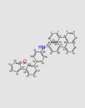 c1ccc(-c2cccc3cccc(-c4ccc(Nc5ccc(-c6cccc7c6oc6ccccc67)cc5)cc4)c23)cc1